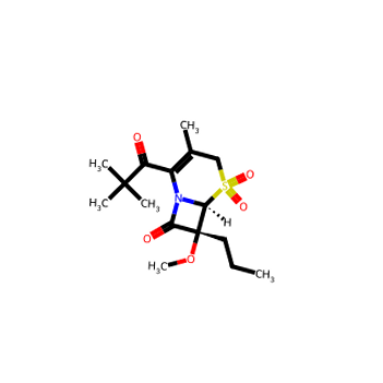 CCC[C@@]1(OC)C(=O)N2C(C(=O)C(C)(C)C)=C(C)CS(=O)(=O)[C@H]21